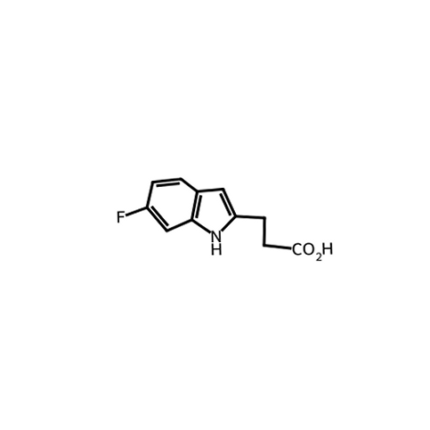 O=C(O)CCc1cc2ccc(F)cc2[nH]1